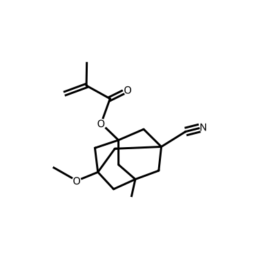 C=C(C)C(=O)OC12CC3(C)CC(C#N)(CC(OC)(C3)C1)C2